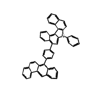 c1ccc(-n2c3ccc4ccccc4c3c3c4ccccc4c(-c4ccc(-c5c6ccccc6cc6c5ccc5ccccc56)cc4)cc32)cc1